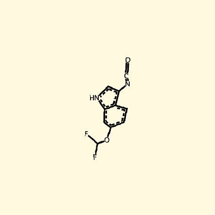 O=C=Nc1c[nH]c2cc(OC(F)F)ccc12